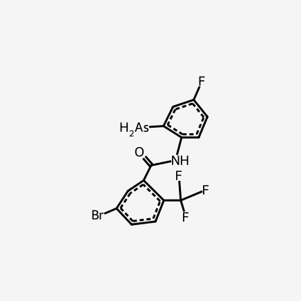 O=C(Nc1ccc(F)cc1[AsH2])c1cc(Br)ccc1C(F)(F)F